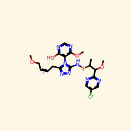 COC/C=C\Cc1nnc(NSC(C)C(OC)c2ncc(Cl)cn2)n1-c1c(O)ncnc1OC